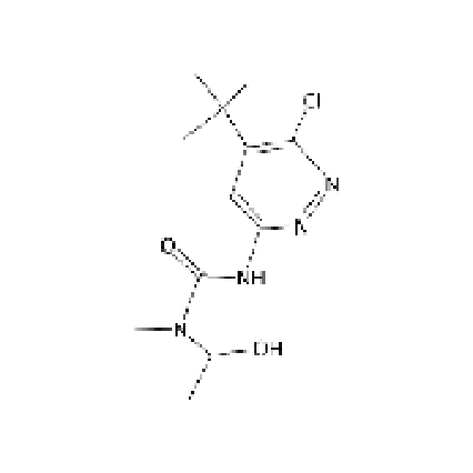 CC(O)N(C)C(=O)Nc1cc(C(C)(C)C)c(Cl)nn1